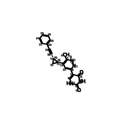 Cc1nnc(-c2c[nH]c(=O)[nH]c2=O)cc1[C@H]1C[C@@H]1C#Cc1ccccc1